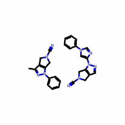 Cc1nn(-c2ccccc2)c2c1CN(C#N)C2.N#CN1Cc2cnn(-c3cn(-c4ccccc4)cn3)c2C1